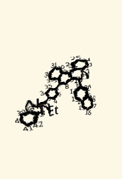 CCn1c(-c2ccc(-c3cc4c(-c5ccc6ccccc6c5)nc5ccccc5c4c4ccccc34)cc2)nc2ccccc21